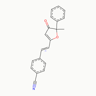 CC1(c2ccccc2)OC(/C=C/c2ccc(C#N)cc2)=CC1=O